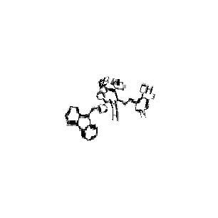 Cc1ccncc1CCC(NC(=O)OCC1c2ccccc2-c2ccccc21)C(=O)OC(C)(C)C